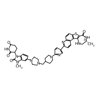 C[C@@H]1CNc2c(sc3ccc4nc(-c5ccc(N6CCC(CN7CCN(c8ccc9c(c8)n(C)c(=O)n9C8CCC(=O)NC8=O)CC7)CC6)nc5)ccc4c23)C(=O)N1